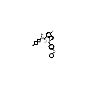 CC1CC2(C1)CC(NC(=O)c1ccc(F)c3ccn(Cc4ccc(OC5CCCC5)cc4)c13)C2